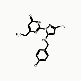 CCc1cc(=O)[nH]c(-n2nc(C)cc2NCc2ccc(Cl)cc2)n1